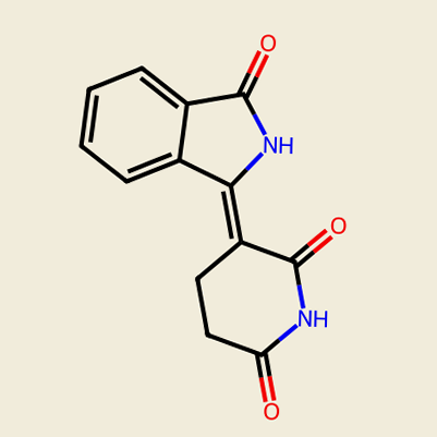 O=C1CC/C(=C2/NC(=O)c3ccccc32)C(=O)N1